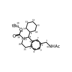 CC(=O)NCc1ccc2c(c1)C(C1CCCCC1)N(C(=O)OC(C)(C)C)CC2